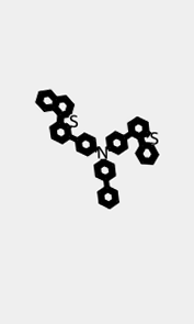 c1ccc(-c2ccc(N(c3ccc(-c4cccc5c4sc4ccc6ccccc6c45)cc3)c3ccc(-c4cccc5sc6ccccc6c45)cc3)cc2)cc1